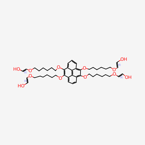 O/C=C/OCCCCCCOc1c(OCCCCCCO/C=C/O)c2cccc3c(OCCCCCCO/C=C/O)c(OCCCCCCO/C=C/O)c4cccc1c4c23